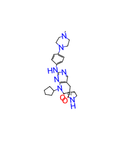 CN1CCN(c2ccc(Nc3ncc4c(n3)N(C3CCCC3)C(=O)[C@]3(CCNC3=O)C4)cc2)CC1